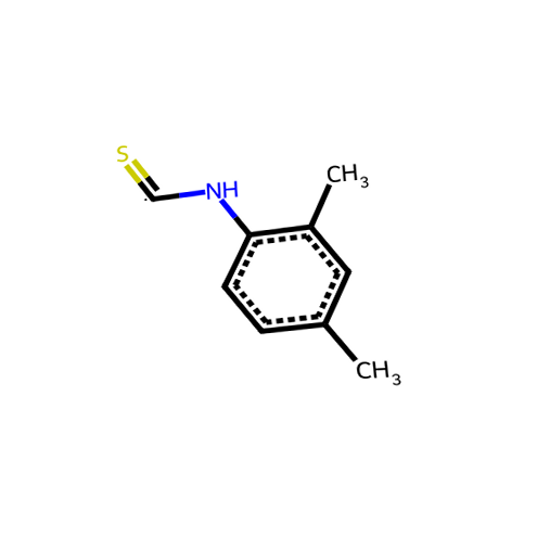 Cc1ccc(N[C]=S)c(C)c1